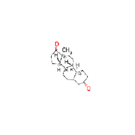 C[C@]12CC[C@H]3[C@@H](CCC4CC(=O)CC[C@@H]43)[C@@H]1CCC2=O